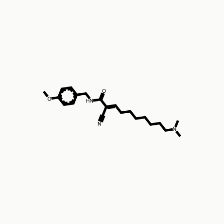 COc1ccc(CNC(=O)/C(C#N)=C/CCCCCCCN(C)C)cc1